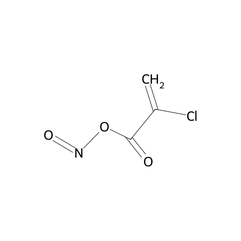 C=C(Cl)C(=O)ON=O